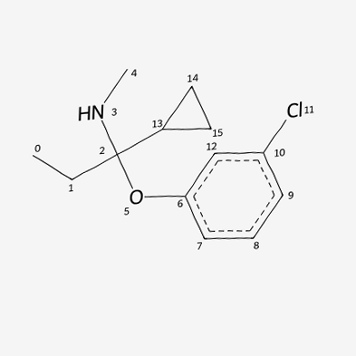 CCC(NC)(Oc1cccc(Cl)c1)C1CC1